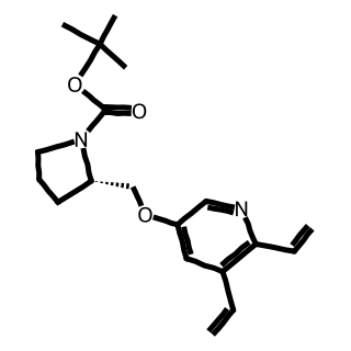 C=Cc1cc(OC[C@@H]2CCCN2C(=O)OC(C)(C)C)cnc1C=C